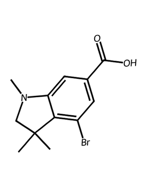 CN1CC(C)(C)c2c(Br)cc(C(=O)O)cc21